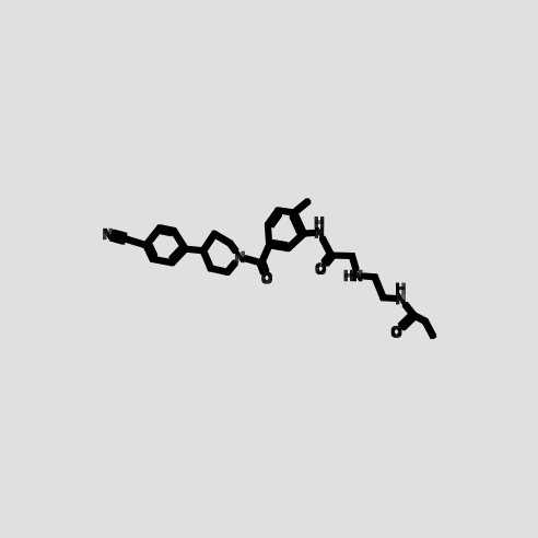 CCC(=O)NCCNCC(=O)Nc1cc(C(=O)N2CCC(c3ccc(C#N)cc3)CC2)ccc1C